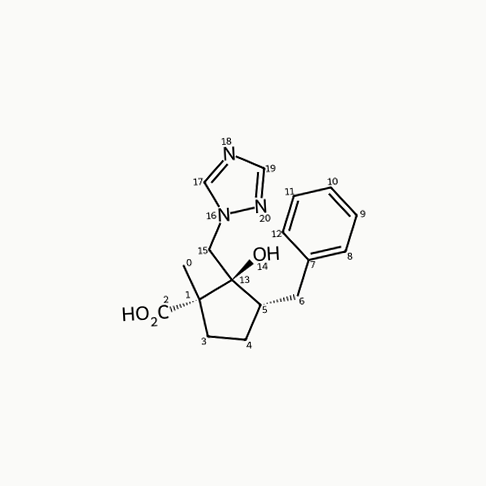 C[C@]1(C(=O)O)CC[C@@H](Cc2ccccc2)[C@@]1(O)Cn1cncn1